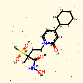 CC(CCn1ccc(C2CCCCC2)cc1=O)(C(=O)NO)S(C)(=O)=O